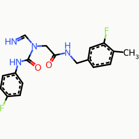 Cc1ccc(CNC(=O)CN(C=N)C(=O)Nc2ccc(F)cc2)cc1F